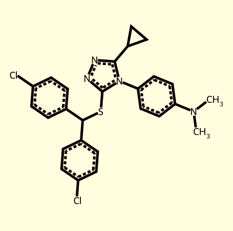 CN(C)c1ccc(-n2c(SC(c3ccc(Cl)cc3)c3ccc(Cl)cc3)nnc2C2CC2)cc1